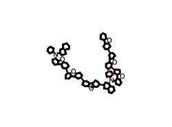 c1ccc(N(c2ccc3ccccc3c2)c2cccc3c2oc2ccc(-c4cccc5c4oc4ccc(-c6ccc7oc8cc(-c9cc(N(c%10ccccc%10)c%10cccc%11oc%12ccc(-c%13cccc%14c%13oc%13ccc(-c%15ccc%16c(c%15)oc%15ccccc%15%16)cc%13%14)cc%12c%10%11)c%10ccccc%10c9)ccc8c7c6)cc45)cc23)cc1